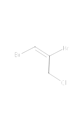 ClC/C(Br)=C\Br